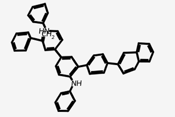 C=C(/C=C(\C=C/Nc1ccccc1)c1ccc(Nc2ccccc2)c(-c2ccc(-c3ccc4ccccc4c3)cc2)c1)c1ccccc1